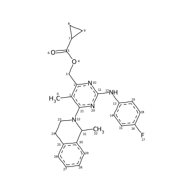 Cc1c(COC(=O)C2CC2)nc(Nc2ccc(F)cc2)nc1N1CCc2ccccc2C1C